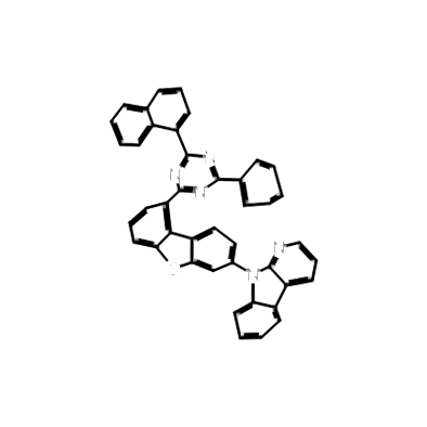 c1ccc(-c2nc(-c3cccc4ccccc34)nc(-c3cccc4sc5cc(-n6c7ccccc7c7cccnc76)ccc5c34)n2)cc1